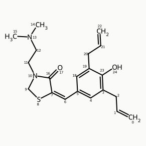 C=CCc1cc(C=C2SCN(CCN(C)C)C2=O)cc(CC=C)c1O